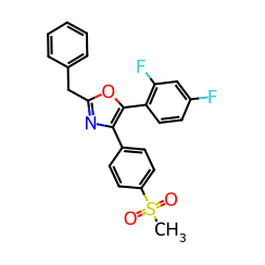 CS(=O)(=O)c1ccc(-c2nc(Cc3ccccc3)oc2-c2ccc(F)cc2F)cc1